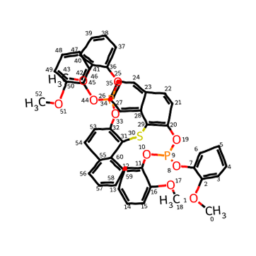 COc1ccccc1OP(Oc1ccccc1OC)Oc1ccc2ccccc2c1Sc1c(OP(Oc2ccccc2OC)Oc2ccccc2OC)ccc2ccccc12